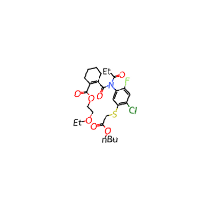 CCCCOC(=O)CSc1cc(N(C(=O)CC)C(=O)C2=C(C(=O)OCCOCC)CCCC2)c(F)cc1Cl